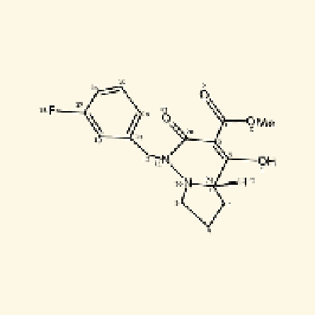 COC(=O)C1=C(O)[C@@H]2CCCN2N(Cc2cccc(F)c2)C1=O